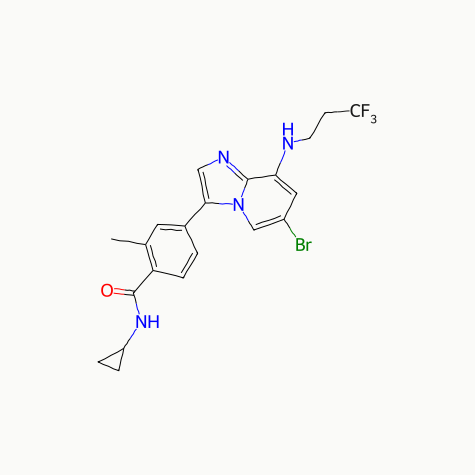 Cc1cc(-c2cnc3c(NCCC(F)(F)F)cc(Br)cn23)ccc1C(=O)NC1CC1